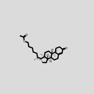 CC(=O)OCCCCC[C@@H](C)[C@H]1CC[C@H]2[C@@H]3CCC4=CC(=O)CC[C@]4(C)[C@H]3CC[C@]12C